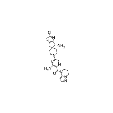 Nc1nc(N2CCC3(CC2)Cc2sc(Cl)nc2C3N)cnc1C(=O)N1CCCn2nccc21